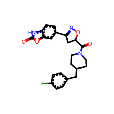 O=C(C1CC(c2ccc3[nH]c(=O)oc3c2)=NO1)N1CCC(Cc2ccc(F)cc2)CC1